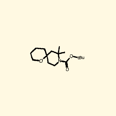 CC(C)(C)OC(=O)N1CCC2(CCCCO2)CC1(C)C